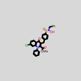 COC(=O)c1c(Cc2ccc([S+]([O-])N(O)CC(C)C)cc2)c(=O)c2ccc(Cl)cc2n1-c1ccccc1